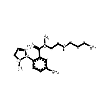 C=C(c1cc(C)ccc1N1N=CCN1C)N(C)CCNCCCC